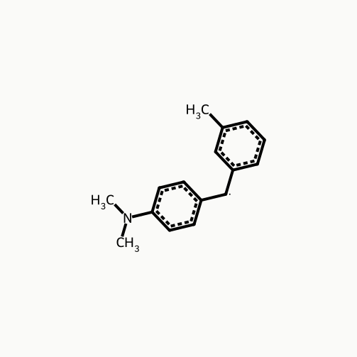 Cc1cccc([CH]c2ccc(N(C)C)cc2)c1